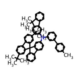 Cc1ccc(-c2cccc(N(c3ccc4c(c3)-c3ccccc3C4(C)C)c3ccc4c(c3)C3(c5ccccc5-4)c4cc(C(C)(C)C)ccc4-c4ccc(C(C)(C)C)cc43)c2)cc1